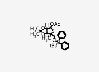 CC(=O)OC1S[C@](C)(CO[Si](c2ccccc2)(c2ccccc2)C(C)(C)C)[C@H]2OC(C)(C)O[C@H]12